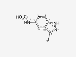 O=C(O)Nc1ccc2[nH]nc(I)c2c1